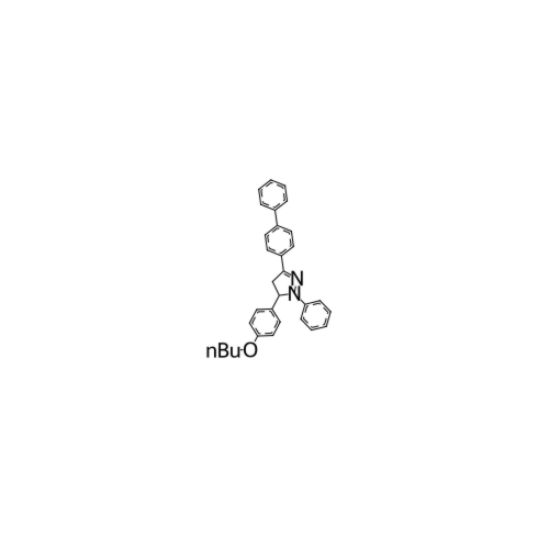 CCCCOc1ccc(C2CC(c3ccc(-c4ccccc4)cc3)=NN2c2ccccc2)cc1